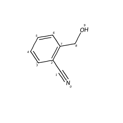 N#Cc1[c]cccc1CO